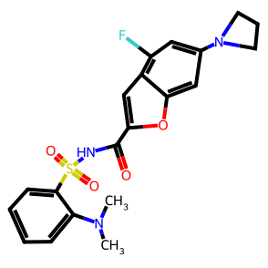 CN(C)c1ccccc1S(=O)(=O)NC(=O)c1cc2c(F)cc(N3CCC3)cc2o1